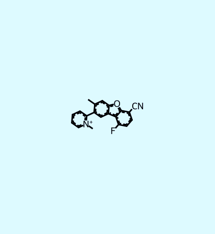 Cc1cc2oc3c(C#N)ccc(F)c3c2cc1-c1cccc[n+]1C